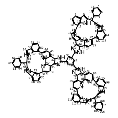 c1ccc(C2c3cc4cccc(c4[nH]3)-c3ccc4c(n3)-c3nc(ccc3C3NC(c5cc(C6=NC7c8ccc9nc8-c8nc(ccc8C7N6)-c6cccc7cc([nH]c67)C(c6ccccc6)c6cc7cccc-9c7[nH]6)cc(C6=NC7c8ccc9nc8-c8nc(ccc8C7N6)-c6cccc7cc([nH]c67)C(c6ccccc6)c6cc7cccc-9c7[nH]6)c5)=NC43)-c3cccc4cc2[nH]c34)cc1